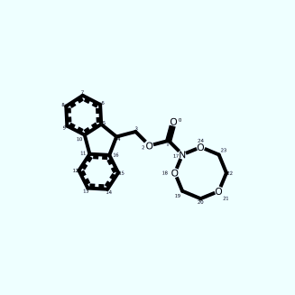 O=C(OCC1c2ccccc2-c2ccccc21)N1OCCOCCO1